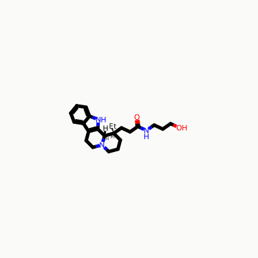 CC[C@]1(CCC(=O)NCCCO)CCCN2CCc3c([nH]c4ccccc34)[C@@H]21